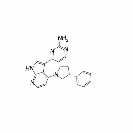 Nc1nccc(-c2c[nH]c3nccc(N4CC[C@H](c5ccccc5)C4)c23)n1